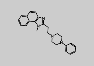 Cn1c(CCN2CCN(c3ccccc3)CC2)nc2ccc3ccccc3c21